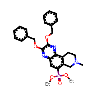 CCOP(=O)(OCC)c1cc2nc(OCc3ccccc3)c(OCc3ccccc3)nc2c2c1CN(C)CC2